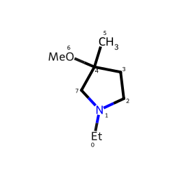 CCN1CCC(C)(OC)C1